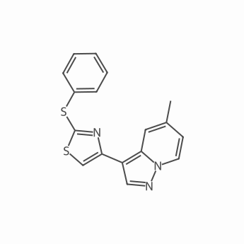 Cc1ccn2ncc(-c3csc(Sc4ccccc4)n3)c2c1